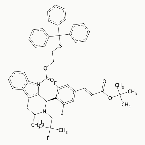 C[C@@H]1Cc2c(n(C(=O)OCCSC(c3ccccc3)(c3ccccc3)c3ccccc3)c3ccccc23)[C@@H](c2c(F)cc(/C=C/C(=O)OC(C)(C)C)cc2F)N1CC(C)(C)F